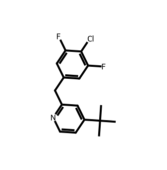 CC(C)(C)c1ccnc(Cc2cc(F)c(Cl)c(F)c2)c1